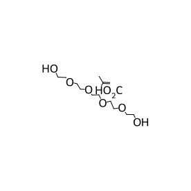 C=C(C)C(=O)O.OCCOCCOCCOCCOCCO